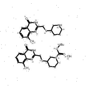 Cc1cccc2c(=O)[nH]c(CSC3CCCN(C(=O)OC(C)(C)C)C3)nc12.Cc1cccc2c(=O)[nH]c(CSC3CCCNC3)nc12.Cl